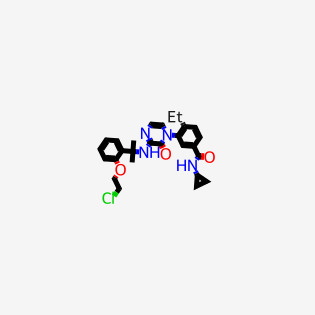 CCc1ccc(C(=O)NC2CC2)cc1-n1ccnc(NC(C)(C)c2ccccc2OCCCl)c1=O